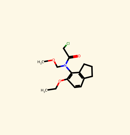 CCOc1ccc2c(c1N(COC)C(=O)CCl)CCC2